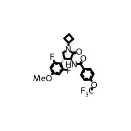 COc1cc(F)c([C@@H]2CN(C3CCC3)C(=O)[C@H]2NC(=O)c2ccc(OC(F)(F)F)cc2)c(F)c1